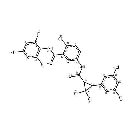 O=C(Nc1c(F)cc(F)cc1F)c1cc(NC(=O)C2C(c3cc(Cl)cc(Cl)c3)C2(Cl)Cl)ccc1Cl